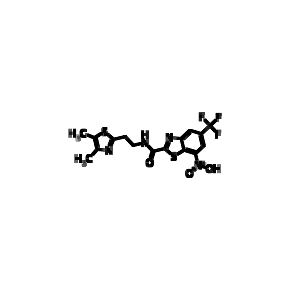 Cc1nc(CCNC(=O)c2nc3cc(C(F)(F)F)cc([N+](=O)O)c3s2)sc1C